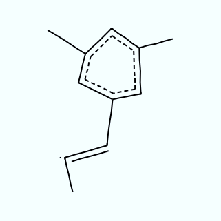 C[C]=Cc1cc(C)cc(C)c1